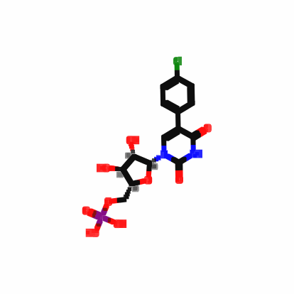 O=c1[nH]c(=O)n([C@@H]2O[C@H](COP(=O)(O)O)[C@@H](O)[C@@H]2O)cc1-c1ccc(Cl)cc1